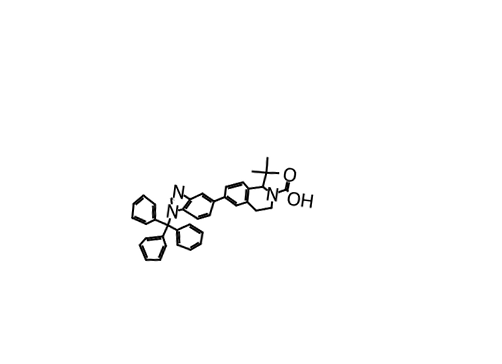 CC(C)(C)C1c2ccc(-c3ccc4c(c3)ncn4C(c3ccccc3)(c3ccccc3)c3ccccc3)cc2CCN1C(=O)O